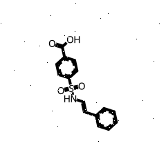 O=C(O)c1ccc(S(=O)(=O)NC=Cc2ccccc2)cc1